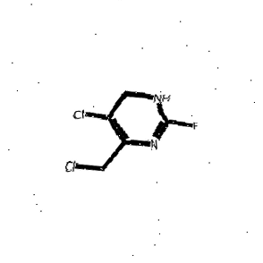 FC1=NC(CCl)=C(Cl)[CH]N1